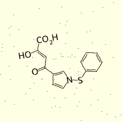 O=C(O)C(O)=CC(=O)c1ccn(Sc2ccccc2)c1